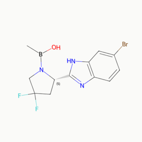 CB(O)N1CC(F)(F)C[C@H]1c1nc2ccc(Br)cc2[nH]1